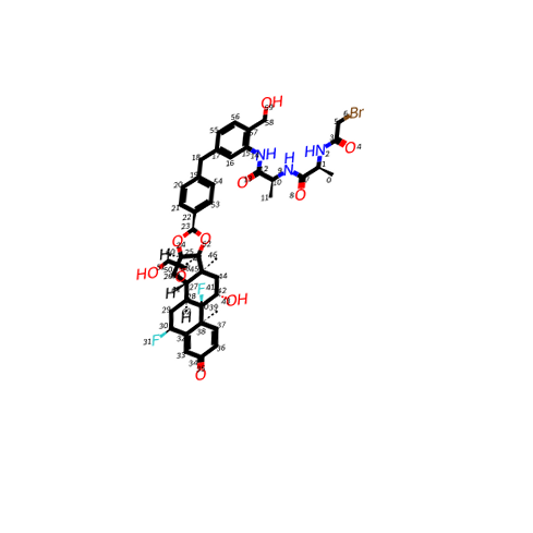 C[C@H](NC(=O)CBr)C(=O)N[C@@H](C)C(=O)Nc1cc(Cc2ccc([C@@H]3O[C@@H]4C[C@H]5[C@@H]6C[C@H](F)C7=CC(=O)C=C[C@]7(C)[C@@]6(F)[C@@H](O)C[C@]5(C)[C@]4(C(=O)CO)O3)cc2)ccc1CO